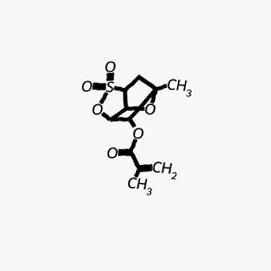 C=C(C)C(=O)OC1C2OS(=O)(=O)C3CC1(C)OC23